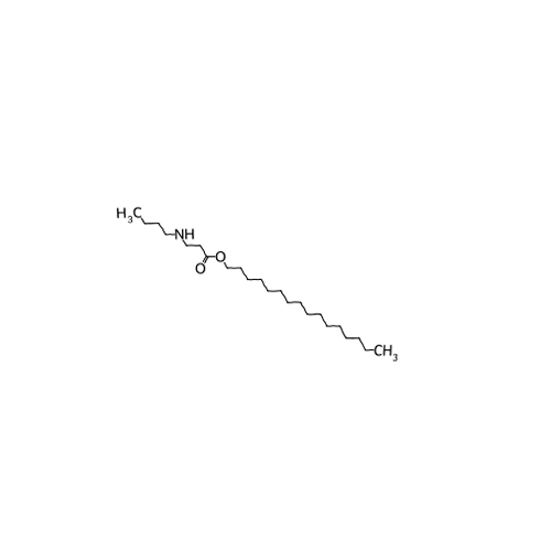 CCCCCCCCCCCCCCCCOC(=O)CCNCCCC